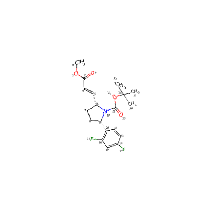 COC(=O)/C=C/[C@H]1CC[C@@H](c2ccc(F)cc2F)N1C(=O)OC(C)(C)C